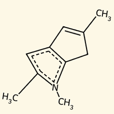 CC1=Cc2cc(C)n(C)c2C1